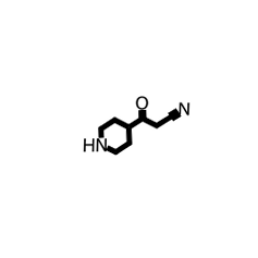 N#CCC(=O)C1CCNCC1